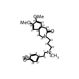 CCCCOc1ccc(CCN(C)CCCN2CCc3cc(OC)c(OC)cc3CC2=O)cc1